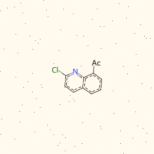 CC(=O)c1cccc2ccc(Cl)nc12